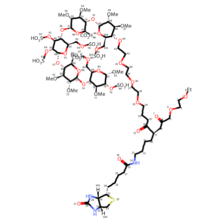 CCOCCOCC(=O)C[C@@H](CCCCNC(=O)CCCC[C@@H]1SC[C@@H]2NC(=O)N[C@@H]21)C(=O)CCCOCCOCCOCCO[C@H]1[C@H](OC)[C@@H](OC)[C@@H](O[C@H]2[C@H](OC)[C@@H](OC)[C@H](O[C@H]3[C@H](OS(=O)(=O)O)[C@@H](OS(=O)(=O)O)[C@@H](O[C@H]4[C@H](OC)[C@@H](OC)[C@H](O[C@H]5[C@H](OC)[C@@H](OS(=O)(=O)O)[C@@H](OC)O[C@@H]5COS(=O)(=O)O)O[C@@H]4C(=O)O)O[C@@H]3COS(=O)(=O)O)O[C@@H]2C(=O)O)O[C@@H]1COS(=O)(=O)O